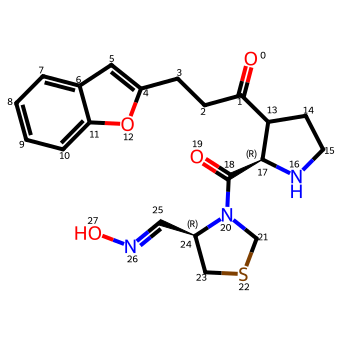 O=C(CCc1cc2ccccc2o1)C1CCN[C@H]1C(=O)N1CSC[C@H]1C=NO